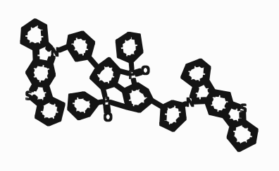 O=P1(c2ccccc2)c2cc(-c3cccc(-n4c5ccccc5c5cc6sc7ccccc7c6cc54)c3)cc3c2-c2c1cc(-c1cccc(-n4c5ccccc5c5cc6sc7ccccc7c6cc54)c1)cc2P3(=O)c1ccccc1